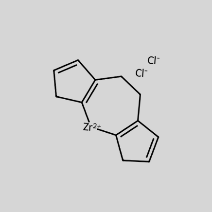 C1=CC2=[C](C1)[Zr+2][C]1=C(C=CC1)CC2.[Cl-].[Cl-]